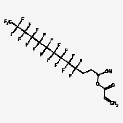 C=CC(=O)OC(O)CCC(F)(F)C(F)(F)C(F)(F)C(F)(F)C(F)(F)C(F)(F)C(F)(F)C(F)(F)C(F)(F)C(F)(F)F